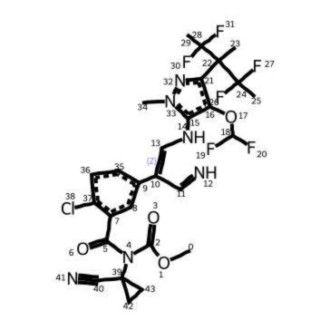 COC(=O)N(C(=O)c1cc(/C(C=N)=C/Nc2c(OC(F)F)c(C(C)(C(C)(F)F)C(C)(F)F)nn2C)ccc1Cl)C1(C#N)CC1